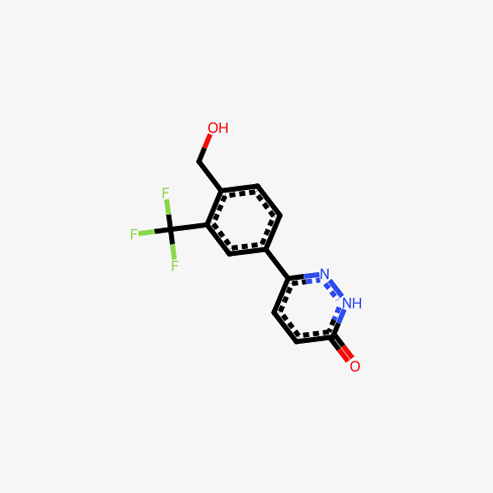 O=c1ccc(-c2ccc(CO)c(C(F)(F)F)c2)n[nH]1